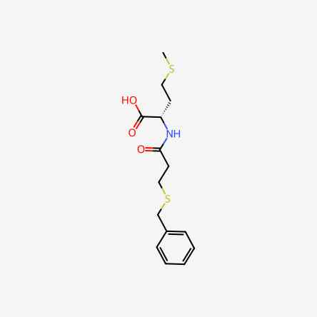 CSCC[C@H](NC(=O)CCSCc1ccccc1)C(=O)O